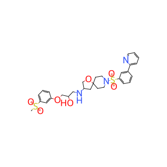 CS(=O)(=O)c1cccc(OCC(O)CNC2COC3(CCN(S(=O)(=O)c4cccc(-c5ccccn5)c4)CC3)C2)c1